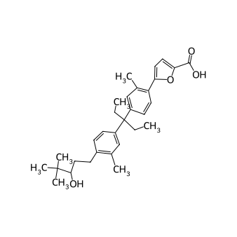 CCC(CC)(c1ccc(CCC(O)C(C)(C)C)c(C)c1)c1ccc(-c2ccc(C(=O)O)o2)c(C)c1